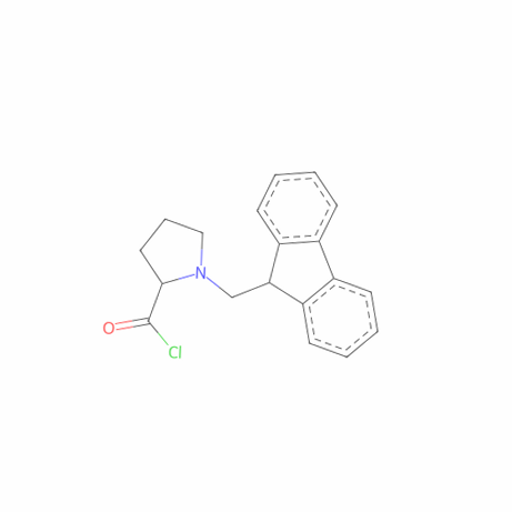 O=C(Cl)C1CCCN1CC1c2ccccc2-c2ccccc21